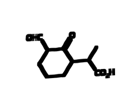 CC(C(=O)O)C1CCCC(C=O)C1=O